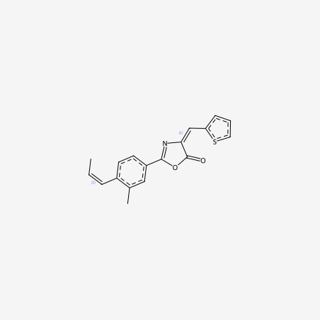 C/C=C\c1ccc(C2=N/C(=C/c3cccs3)C(=O)O2)cc1C